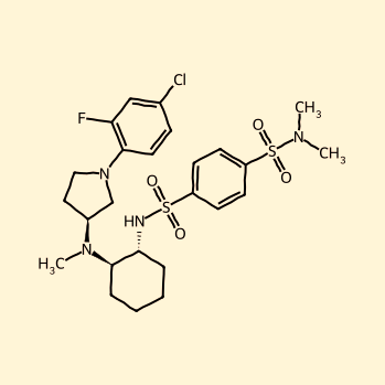 CN([C@H]1CCN(c2ccc(Cl)cc2F)C1)[C@@H]1CCCC[C@H]1NS(=O)(=O)c1ccc(S(=O)(=O)N(C)C)cc1